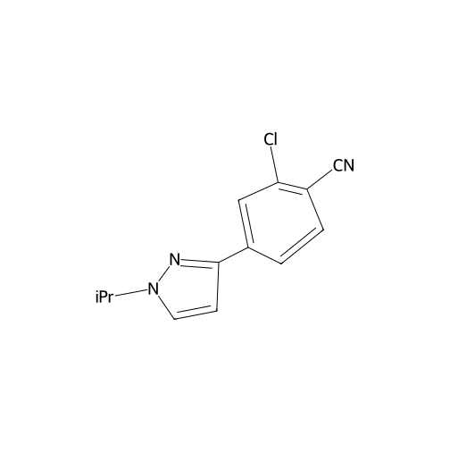 [CH2]C(C)n1ccc(-c2ccc(C#N)c(Cl)c2)n1